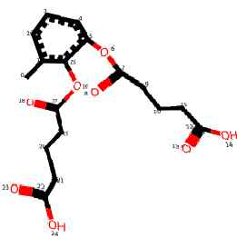 Cc1cccc(OC(=O)CCCC(=O)O)c1OC(=O)CCCC(=O)O